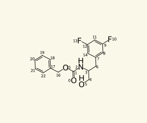 O=C(NC(CO)Cc1cc(F)cc(F)c1)OCc1ccccc1